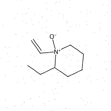 C=C[N+]1([O-])CCCCC1CC